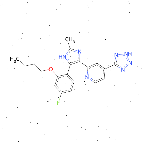 CCCCOc1cc(F)ccc1-c1[nH]c(C)nc1-c1cc(-c2nn[nH]n2)ccn1